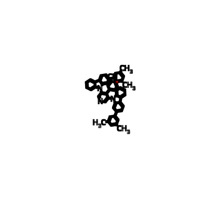 Cc1cc(C)cc(-c2ccc3c4ccccc4n(-c4cncc(-n5c6ccccc6c6ccc(-c7cc(C)cc(C)c7)cc65)c4-c4cccc(C#N)c4)c3c2)c1